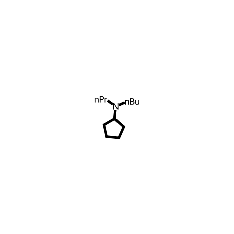 CCCCN(CCC)C1CCCC1